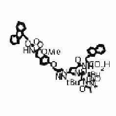 COC(=O)C(Cc1ccc(OCc2cn(C3CC(C(=O)NC(Cc4ccc5ccccc5c4)C(=O)O)N(C(=O)C(NC(=O)C(C)N(C)C(=O)OC(C)(C)C)C(C)(C)C)C3)nn2)cc1)NC(=O)OCC1c2ccccc2-c2ccccc21